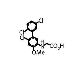 COc1cc(Cl)c(-c2cc(Cl)ccc2Cl)cc1NCC(=O)O